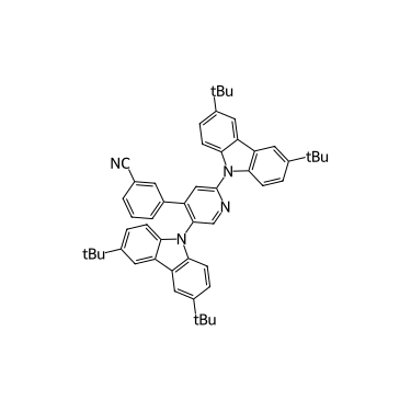 CC(C)(C)c1ccc2c(c1)c1cc(C(C)(C)C)ccc1n2-c1cc(-c2cccc(C#N)c2)c(-n2c3ccc(C(C)(C)C)cc3c3cc(C(C)(C)C)ccc32)cn1